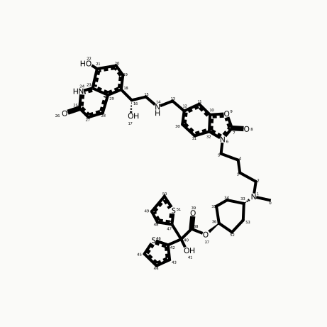 CN(CCCCn1c(=O)oc2cc(CNC[C@H](O)c3ccc(O)c4[nH]c(=O)ccc34)ccc21)[C@H]1CC[C@H](OC(=O)C(O)(c2cccs2)c2cccs2)CC1